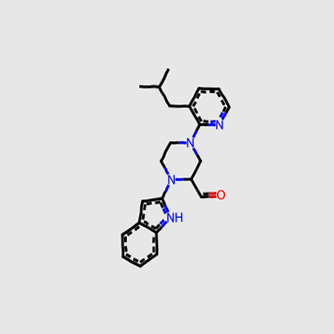 CC(C)Cc1cccnc1N1CCN(c2cc3ccccc3[nH]2)C(C=O)C1